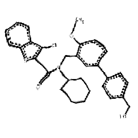 COc1ccc(-c2ccc(CO)cc2)cc1CN(C(=O)c1sc2ccccc2c1Cl)C1CCCCC1